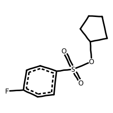 O=S(=O)(OC1CCCC1)c1ccc(F)cc1